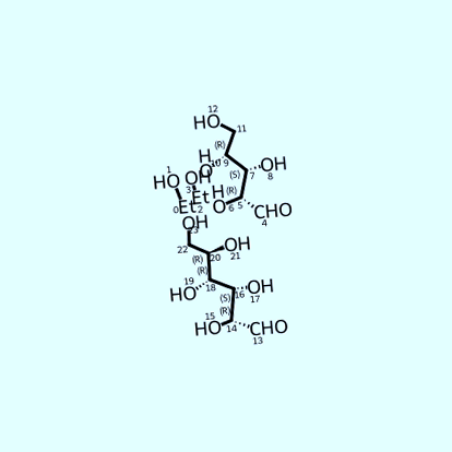 CCO.CCO.O=C[C@H](O)[C@@H](O)[C@H](O)CO.O=C[C@H](O)[C@@H](O)[C@H](O)[C@H](O)CO